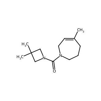 CC1=CCN(C(=O)N2CC(C)(C)C2)CCC1